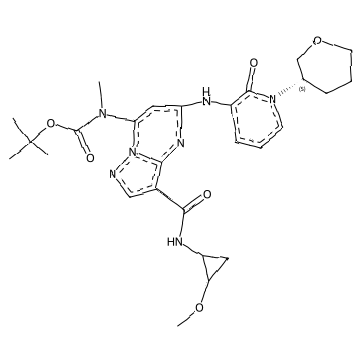 COC1CC1NC(=O)c1cnn2c(N(C)C(=O)OC(C)(C)C)cc(Nc3cccn([C@H]4CCCOC4)c3=O)nc12